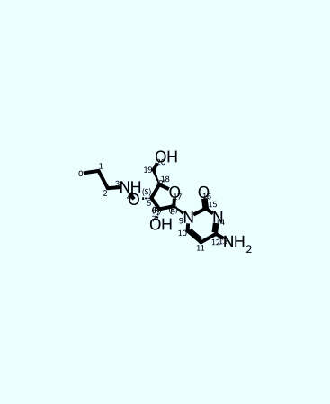 CCCNO[C@H]1[C@@H](O)[C@H](n2ccc(N)nc2=O)O[C@@H]1CO